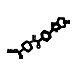 COC(=O)[C@H]1CC[C@H](NC(=O)c2ccc(-c3nc4c(s3)CNCC4)cc2)CC1